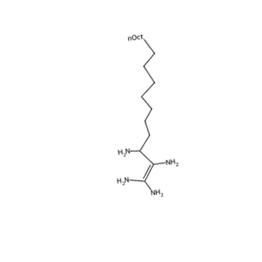 CCCCCCCCCCCCCCCC(N)C(N)=C(N)N